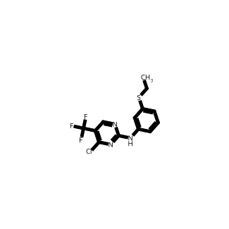 CCSc1cccc(Nc2ncc(C(F)(F)F)c(Cl)n2)c1